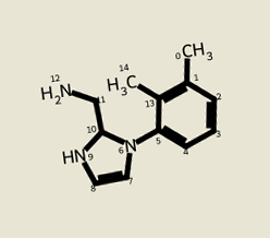 Cc1cccc(N2C=CNC2CN)c1C